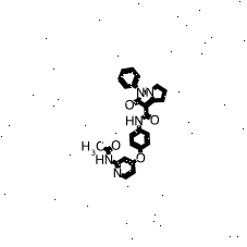 CC(=O)Nc1cc(Oc2ccc(NC(=O)c3c4n(n(-c5ccccc5)c3=O)CCC4)cc2)ccn1